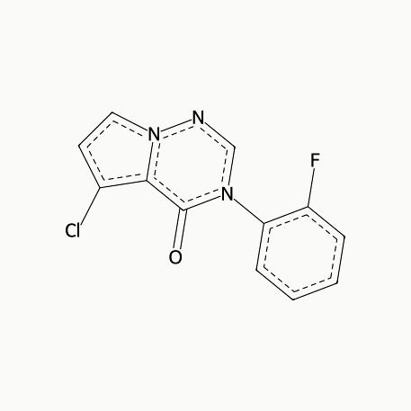 O=c1c2c(Cl)ccn2ncn1-c1ccccc1F